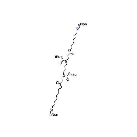 CCCCCCCCC/C=C/CCCCCCCOC(=O)CCN(CCCCN(CCC(=O)OCCCCCCC/C=C/CCCCCCCCC)C(=O)OC(C)(C)C)C(=O)OC(C)(C)C